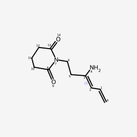 C=C/C=C(\N)CCN1C(=O)CCCC1=O